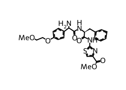 COCCOc1ccc(C(N)C(=O)N[C@@H](Cc2ccccc2)C(=O)Nc2nc(C(=O)OC)cs2)cc1